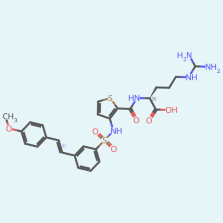 COc1ccc(/C=C/c2cccc(S(=O)(=O)Nc3ccsc3C(=O)N[C@@H](CCCNC(N)N)C(=O)O)c2)cc1